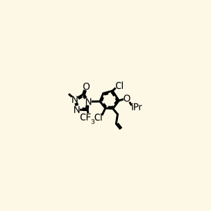 C=CCc1c(Cl)c(-n2c(C(F)(F)F)nn(C)c2=O)cc(Cl)c1OC(C)C